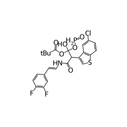 CC(C)(C)C(=O)OC(O)(O[PH2]=O)C(C(=O)NC=Cc1ccc(F)c(F)c1)c1csc2ccc(Cl)cc12